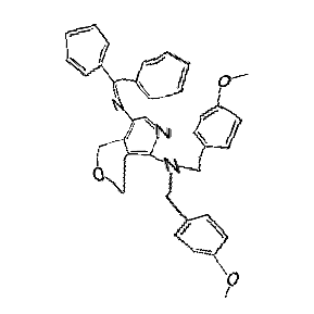 COc1ccc(CN(Cc2ccc(OC)cc2)c2ncc(N=C(c3ccccc3)c3ccccc3)c3c2COC3)cc1